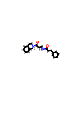 O=C(CCC1CCCCC1)NCCC(=O)N1CCC2CCCC=C2C1